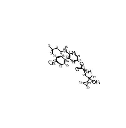 CC(C)CCN(C)c1ncc(OC(=O)NC[C@](C)(O)C2CC2)nc1-c1ccc(Cl)cc1